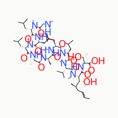 CC=CC[C@@H](C)[C@@H](O)[C@@H](C(=O)N[C@H](C(=O)O)[C@@H](C)O)N(C)C(=O)[C@H](C(C)C)N(C)C(=O)[C@H](CC(C)C)NC(=O)[C@H](CC(C)C)N(C)C(=O)[C@@H](C)NC(=O)[C@H](C)NC(=O)[C@H](CC(C)C)N(C)C(=O)[C@H](CC(C)C)NC(=O)[C@H](CC(C)C)N(C)C(=O)CNC